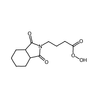 O=C(CCCN1C(=O)C2CCCCC2C1=O)OO